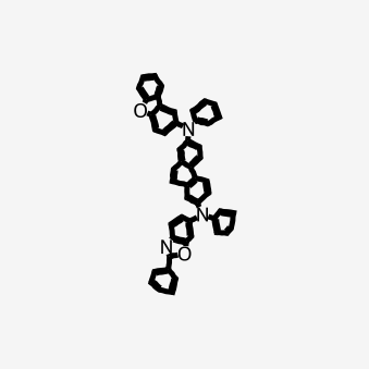 c1ccc(-c2nc3ccc(N(c4ccccc4)c4ccc5c(ccc6cc(N(c7ccccc7)c7ccc8oc9ccccc9c8c7)ccc65)c4)cc3o2)cc1